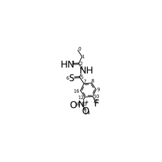 CCC(=N)NC(=S)c1ccc(F)c([N+](=O)[O-])c1